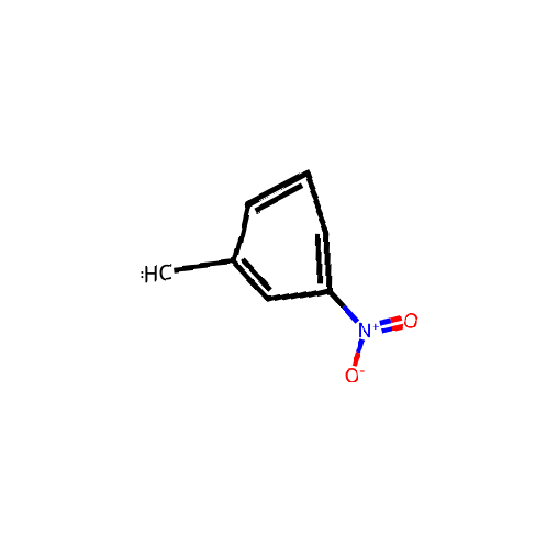 [CH]c1cccc([N+](=O)[O-])c1